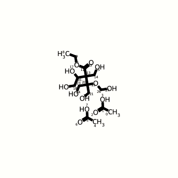 CC(=O)O.CC(=O)O.CCOC(=O)C(CO)(C(O)CO)C(CO)(CO)OCO